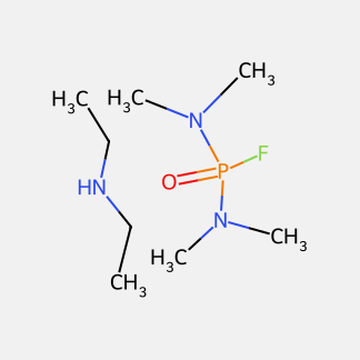 CCNCC.CN(C)P(=O)(F)N(C)C